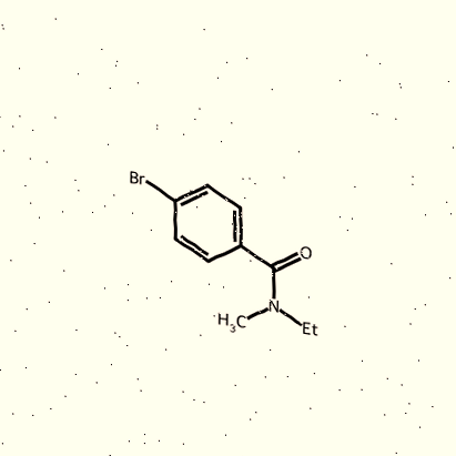 CCN(C)C(=O)c1ccc(Br)cc1